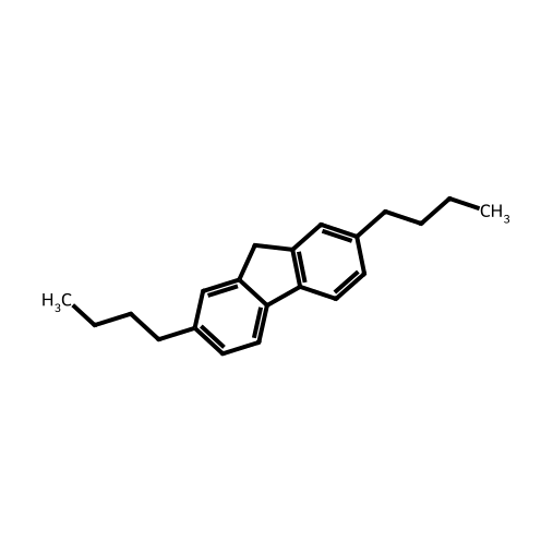 CCCCc1ccc2c(c1)Cc1cc(CCCC)ccc1-2